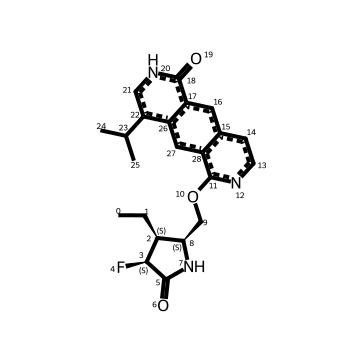 CC[C@@H]1[C@H](F)C(=O)N[C@@H]1COc1nccc2cc3c(=O)[nH]cc(C(C)C)c3cc12